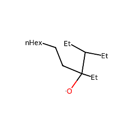 CCCCCCCCC([O])(CC)C(CC)CC